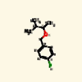 CC(C)C(C)OCc1ccc(F)cc1